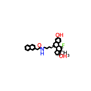 C[C@]12C[C@H](F)C3c4ccc(O)cc4C[C@@H](CCCCNC(=O)Cc4ccc5ccccc5c4)C3C1CC[C@@H]2O